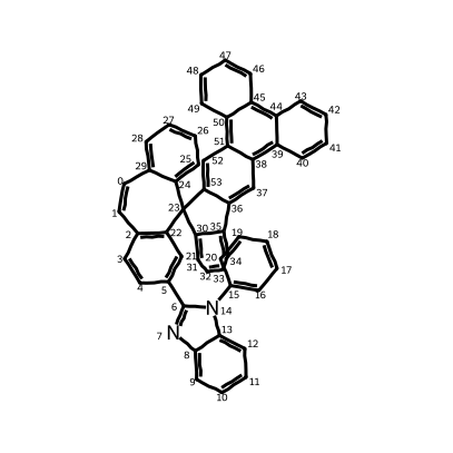 C1=Cc2ccc(-c3nc4ccccc4n3-c3ccccc3)cc2C2(c3ccccc31)c1ccccc1-c1cc3c4ccccc4c4ccccc4c3cc12